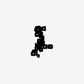 C=CCOC(=O)N[C@H](C=O)CC(=NOCc1c(Cl)cccc1Cl)OC(C)(C)C